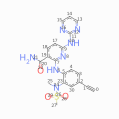 C#Cc1ccc(Nc2nc(Nc3ncccn3)ccc2C(N)=O)c(N(C)S(C)(=O)=O)c1